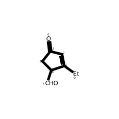 CCC1=CC(=O)CC1C=O